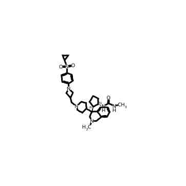 CNC(=O)N[C@H]1CCC[C@@H]1C1(C2CCN(CC3CN(c4ccc(S(=O)(=O)C5CC5)cc4)C3)CC2)CN(C)Cc2ccccc21